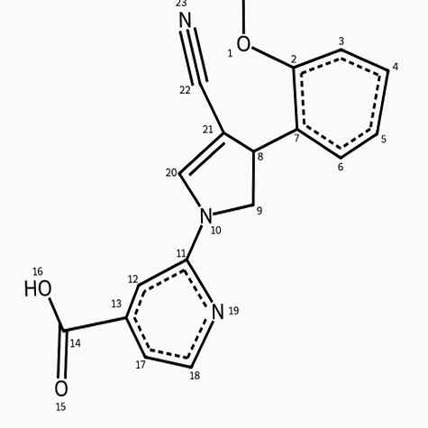 COc1ccccc1C1CN(c2cc(C(=O)O)ccn2)C=C1C#N